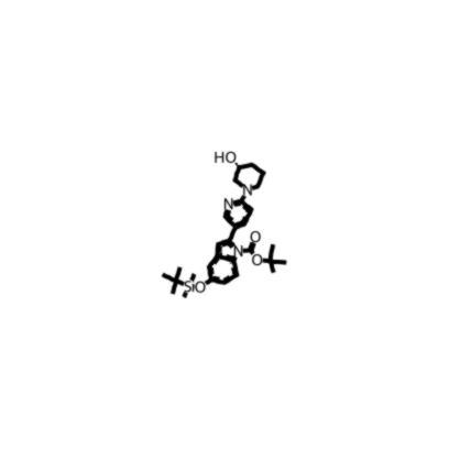 CC(C)(C)OC(=O)n1c(-c2ccc(N3CCC[C@@H](O)C3)nc2)cc2cc(O[Si](C)(C)C(C)(C)C)ccc21